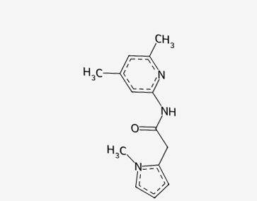 Cc1cc(C)nc(NC(=O)Cc2cccn2C)c1